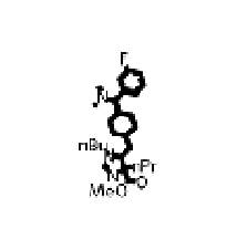 CCCCN1C=NC(CCC)(C(=O)OC)C1CC1CCC(C(c2cccc(F)c2)N(C)C)CC1